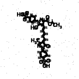 CCOC(=O)c1nn(-c2ccc(S(=O)(=O)O)cc2)c(O)c1C=CC=CC=C1C(=O)N(c2ccc(S(=O)(=O)O)cc2)N=C1C